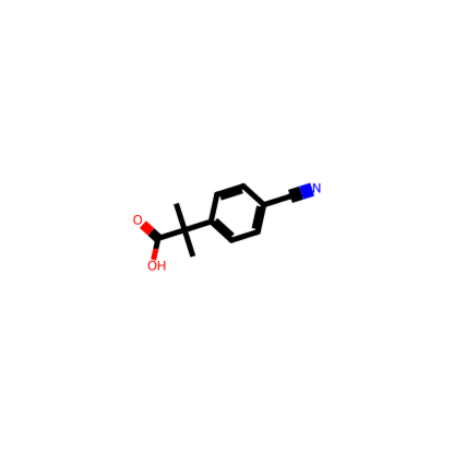 CC(C)(C(=O)O)c1ccc(C#N)cc1